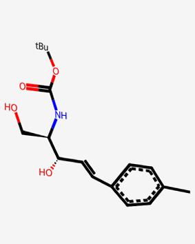 Cc1ccc(/C=C/[C@H](O)[C@@H](CO)NC(=O)OC(C)(C)C)cc1